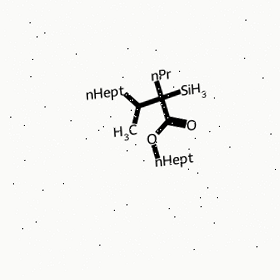 CCCCCCCOC(=O)C([SiH3])(CCC)C(C)CCCCCCC